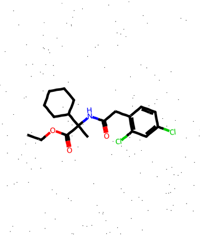 CCOC(=O)C(C)(NC(=O)Cc1ccc(Cl)cc1Cl)C1CCCCC1